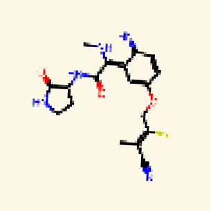 CN/C(C(=O)NC1CCNC1=O)=C1/C=C(OC/C(S)=C(\C)C#N)C=CC1=N